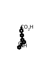 O=C(O)CC1CCC(c2ccc(-c3ccc4c(C(=O)Nc5ccccc5)cccc4c3)cc2)CC1